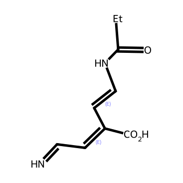 CCC(=O)N/C=C/C(=C\C=N)C(=O)O